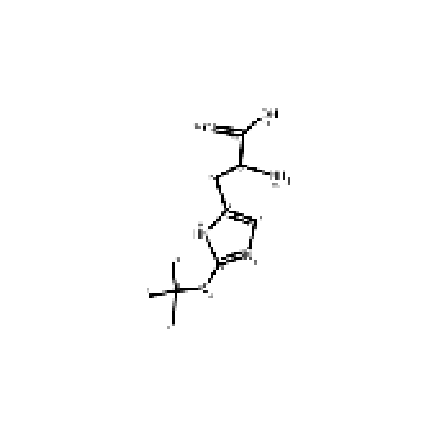 CC(C)(C)Sc1ncc(CC(N)C(=O)O)[nH]1